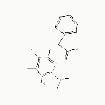 CCc1c(C#N)c(S[C@@H](C(N)=O)c2ccccc2)nc(N(C)C)c1C#N